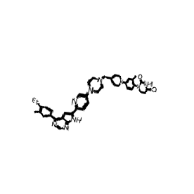 CCc1ccc(-c2ncnc3[nH]c(-c4ccc(N5CCN(CC6CCN(c7ccc(N8CCC(=O)NC8=O)c(C)c7)CC6)CC5)cn4)cc23)cc1C